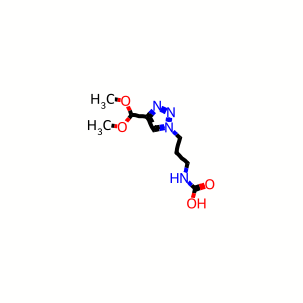 COC(OC)c1cn(CCCNC(=O)O)nn1